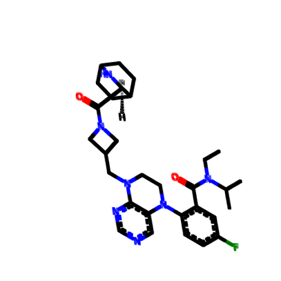 CCN(C(=O)c1cc(F)ccc1N1CCN(CC2CN(C(=O)[C@H]3NC4CCC3CC4)C2)c2ncncc21)C(C)C